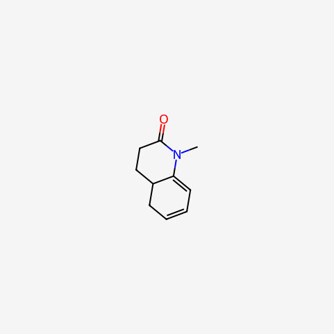 CN1C(=O)CCC2CC=CC=C21